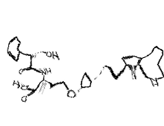 O=C(O)[C@H](CCO[C@H]1C[C@@H](CCc2ccc3c(n2)NCCC3)C1)NC(=O)[C@@H](CO)c1ccccc1